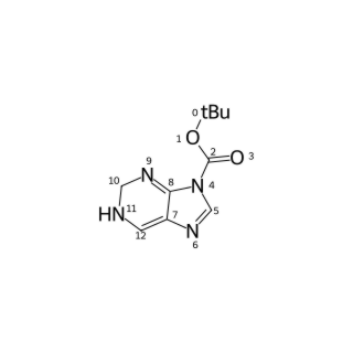 CC(C)(C)OC(=O)n1cnc2c1=NCNC=2